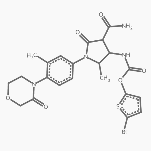 Cc1cc(N2C(=O)C(C(N)=O)C(NC(=O)Oc3ccc(Br)s3)C2C)ccc1N1CCOCC1=O